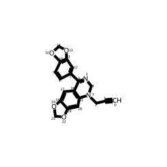 C#CCN1CN=C(c2ccc3c(c2)OCO3)c2cc3c(cc21)OCO3